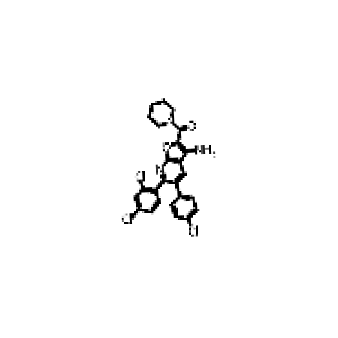 Nc1c(C(=O)N2CCCCC2)oc2nc(-c3ccc(Cl)cc3Cl)c(-c3ccc(Cl)cc3)cc12